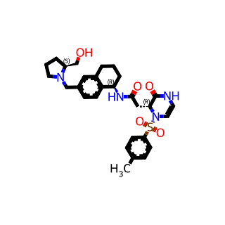 Cc1ccc(S(=O)(=O)N2C=CNC(=O)[C@H]2CC(=O)N[C@@H]2CCCc3cc(CN4CCC[C@H]4CO)ccc32)cc1